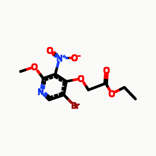 CCOC(=O)COc1c(Br)cnc(OC)c1[N+](=O)[O-]